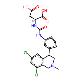 CN1Cc2c(Cl)cc(Cl)cc2C(c2cccc(NC(=O)N[C@@H](CC(=O)O)C(=O)O)c2)C1